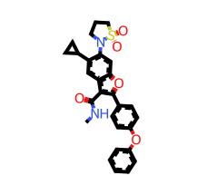 CNC(=O)c1c(-c2ccc(Oc3ccccc3)cc2)oc2cc(N3CCCS3(=O)=O)c(C3CC3)cc12